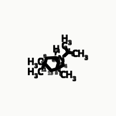 CC(C)N1C[C@]2(C)C[C@H]1CC(C)(C)C2